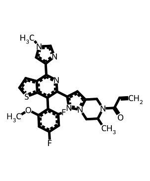 C=CC(=O)N1Cc2cc(-c3nc(-c4cn(C)cn4)c4ccsc4c3-c3c(F)cc(F)cc3OC)nn2CC1C